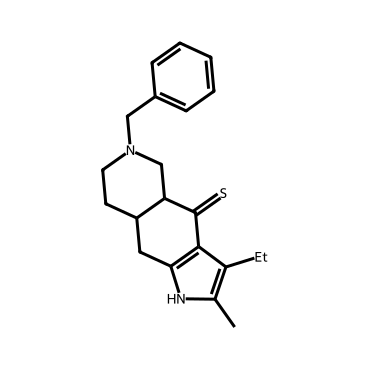 CCc1c(C)[nH]c2c1C(=S)C1CN(Cc3ccccc3)CCC1C2